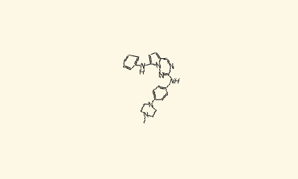 CN1CCN(c2ccc(Nc3ncc4ccc(Nc5ccccc5)n4n3)cc2)CC1